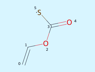 C=COC(=O)[S]